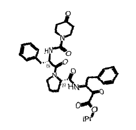 CC(C)OC(=O)C(=O)C(Cc1ccccc1)NC(=O)[C@@H]1CCCN1C(=O)[C@H](Cc1ccccc1)NC(=O)N1CCC(=O)CC1